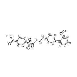 COC(=O)c1ccc(S(=O)(=O)NCCCN2CCN(c3ccccc3OC)CC2)cc1